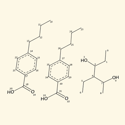 CCC(O)C(CC)C(C)O.CCCCc1ccc(C(=O)O)cc1.CCCCc1ccc(C(=O)O)cc1